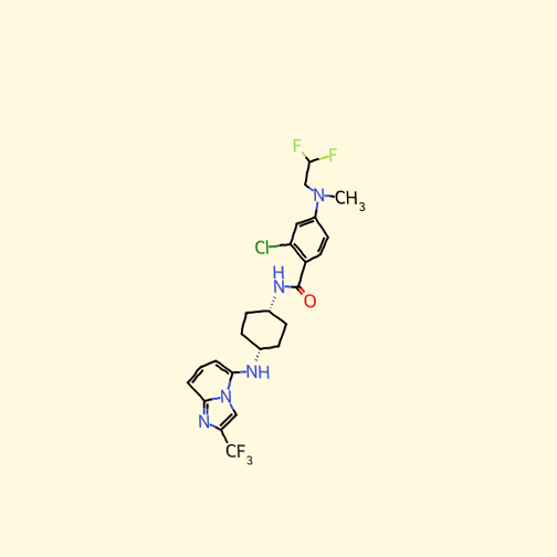 CN(CC(F)F)c1ccc(C(=O)N[C@H]2CC[C@@H](Nc3cccc4nc(C(F)(F)F)cn34)CC2)c(Cl)c1